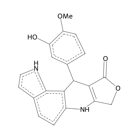 COc1ccc(C2C3=C(COC3=O)Nc3ccc4cc[nH]c4c32)cc1O